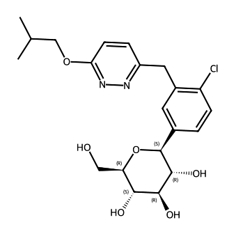 CC(C)COc1ccc(Cc2cc([C@@H]3O[C@H](CO)[C@@H](O)[C@H](O)[C@H]3O)ccc2Cl)nn1